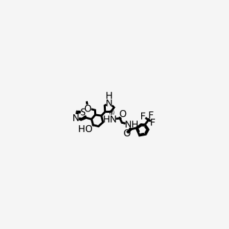 COCC1C(C2CNC[C@@H]2NC(=O)CNC(=O)c2cccc(C(F)(F)F)c2)CCC(O)C1c1cncs1